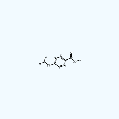 COC(=O)c1ccc(SC(C)C)cn1